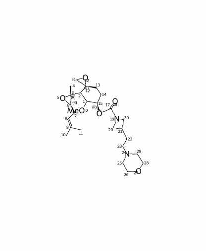 COC1C([C@@]2(C)O[C@@H]2CC=C(C)C)[C@]2(CC[C@H]1OC(=O)N1CC(CCN3CCOCC3)C1)CO2